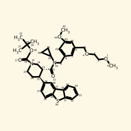 COCCOCc1cc(CN(C(=O)[C@H]2CN(C(=O)OC(C)(C)C)CC[C@@H]2c2ccc3sc4ccccc4c3c2)C2CC2)cc(OC)c1